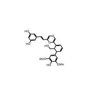 COc1cc(C2C=CC=C(C3=COC=C(C=Cc4cc(O)cc(O)c4)O3)C2CO)cc(OC)c1O